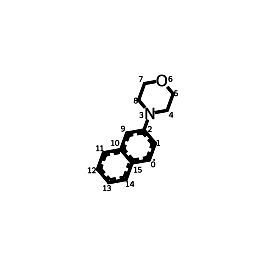 [c]1cc(N2CCOCC2)cc2ccccc12